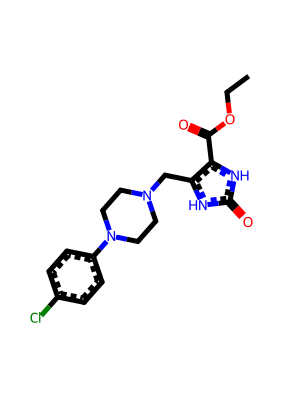 CCOC(=O)c1[nH]c(=O)[nH]c1CN1CCN(c2ccc(Cl)cc2)CC1